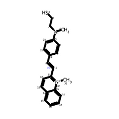 CN(CCS)c1ccc(/C=C/c2ccc3ccccc3[n+]2C)cc1